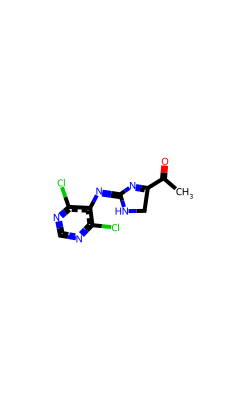 CC(=O)C1=NC(=Nc2c(Cl)ncnc2Cl)NC1